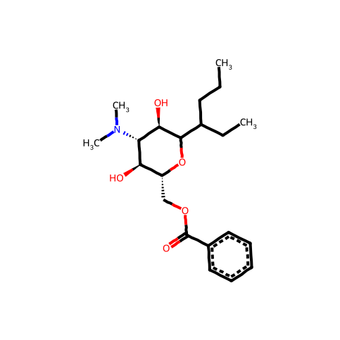 CCCC(CC)C1O[C@H](COC(=O)c2ccccc2)[C@@H](O)[C@H](N(C)C)[C@H]1O